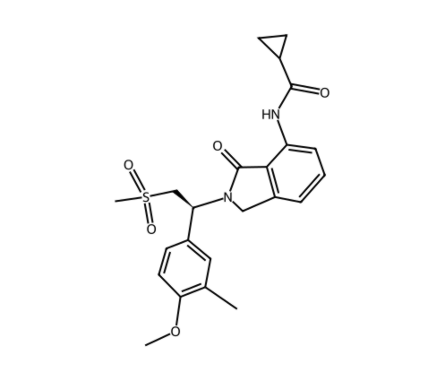 COc1ccc([C@@H](CS(C)(=O)=O)N2Cc3cccc(NC(=O)C4CC4)c3C2=O)cc1C